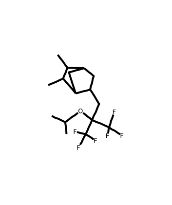 CC(C)OC(CC1CC2CC1C(C)C2C)(C(F)(F)F)C(F)(F)F